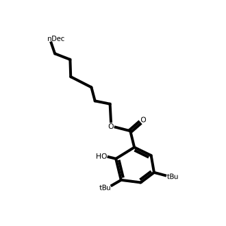 CCCCCCCCCCCCCCCCOC(=O)c1cc(C(C)(C)C)cc(C(C)(C)C)c1O